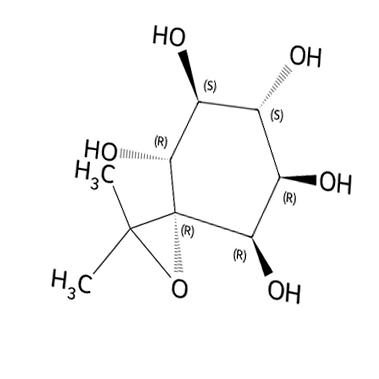 CC1(C)O[C@]12[C@H](O)[C@H](O)[C@@H](O)[C@H](O)[C@H]2O